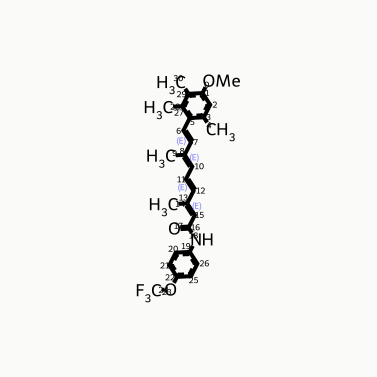 COc1cc(C)c(/C=C/C(C)=C/C=C/C(C)=C/C(=O)Nc2ccc(OC(F)(F)F)cc2)c(C)c1C